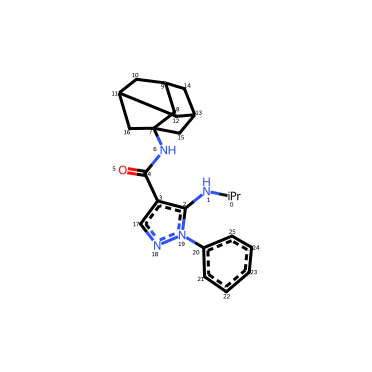 CC(C)Nc1c(C(=O)NC23CC4CC(CC(C4)C2)C3)cnn1-c1ccccc1